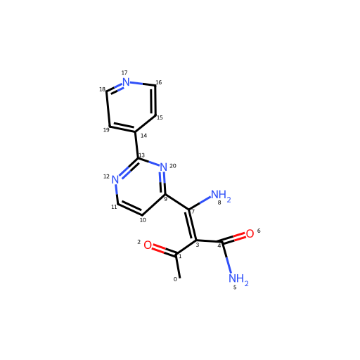 CC(=O)/C(C(N)=O)=C(/N)c1ccnc(-c2ccncc2)n1